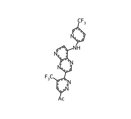 CC(=O)c1cc(C(F)(F)F)c(-c2cnc3c(Nc4ccc(C(F)(F)F)cn4)ccnc3n2)nn1